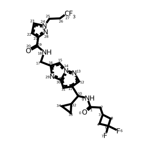 O=C(CC1CC(F)(F)C1)NC(c1cnn2cc(CNC(=O)c3ccn(CCC(F)(F)F)n3)nc2c1)C1CC1